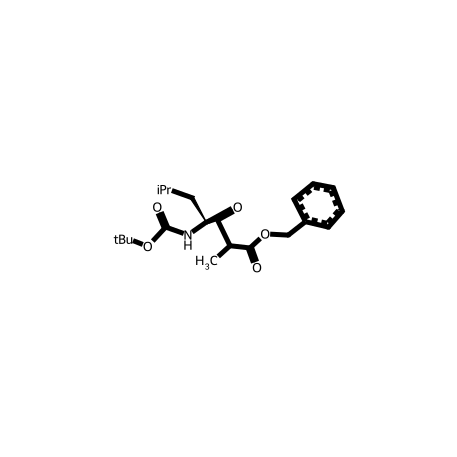 CC(C)C[C@H](NC(=O)OC(C)(C)C)C(=O)C(C)C(=O)OCc1ccccc1